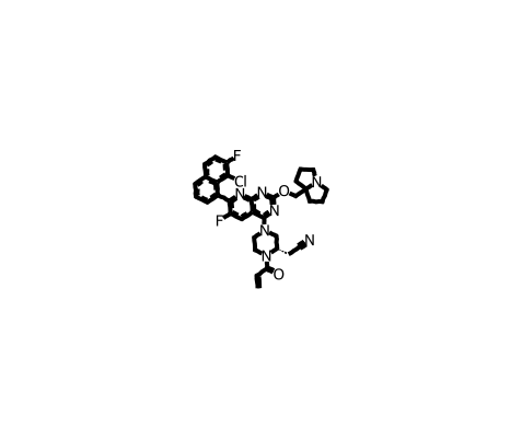 C=CC(=O)N1CCN(c2nc(OCC34CCCN3CCC4)nc3nc(-c4cccc5ccc(F)c(Cl)c45)c(F)cc23)C[C@@H]1CC#N